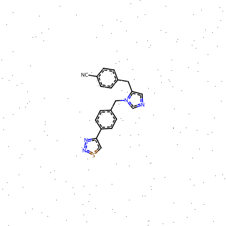 N#Cc1ccc(Cc2cncn2Cc2ccc(-c3csnn3)cc2)cc1